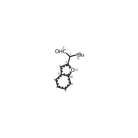 CC(C)(C)C(C=O)c1cc2ccccc2o1